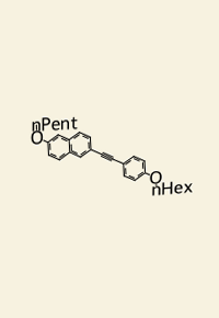 CCCCCCOc1ccc(C#Cc2ccc3cc(OCCCCC)ccc3c2)cc1